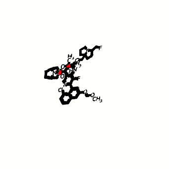 COCOc1cc(-c2ncc3c(N4CC5CCC(C4)N5C(=O)OC(C)(C)C)nc(OCC45CCCN4C(CF)CC5)nc3c2F)c2c(Cl)cccc2c1